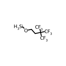 FC(F)(F)C(CCO[SiH3])(C(F)(F)F)C(F)(F)F